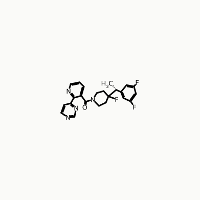 C[C@H](c1cc(F)cc(F)c1)C1(F)CCN(C(=O)c2cccnc2-c2ccncn2)CC1